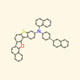 c1ccc2cc(-c3ccc(N(c4ccc5c(c4)sc4ccc6c7ccc8ccccc8c7oc6c45)c4cccc5ccccc45)cc3)ccc2c1